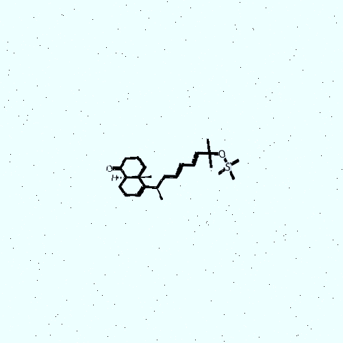 C[C@H](C/C=C/C=C/C(C)(C)O[Si](C)(C)C)C1=CCC[C@H]2C(=O)CCC[C@]12C